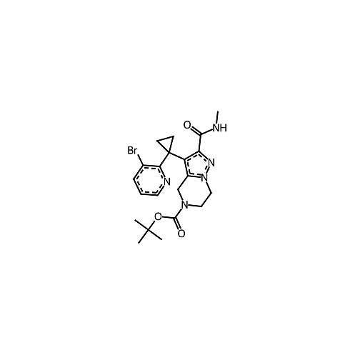 CNC(=O)c1nn2c(c1C1(c3ncccc3Br)CC1)CN(C(=O)OC(C)(C)C)CC2